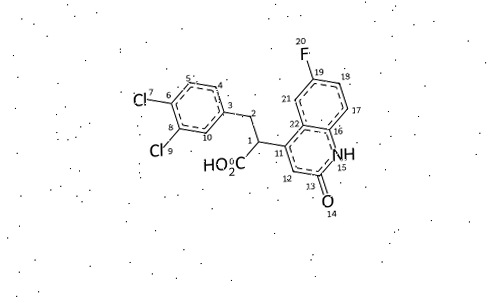 O=C(O)C(Cc1ccc(Cl)c(Cl)c1)c1cc(=O)[nH]c2ccc(F)cc12